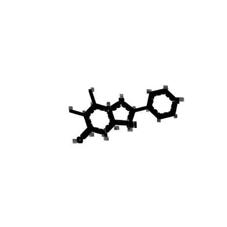 Cc1c(C)n2nc(-c3ccncc3)[nH]c2nc1=O